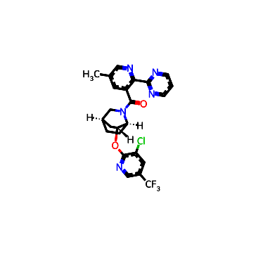 Cc1cnc(-c2ncccn2)c(C(=O)N2C[C@@H]3CC[C@H]2[C@H](Oc2ncc(C(F)(F)F)cc2Cl)C3)c1